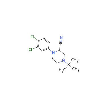 CC(C)(C)N1CCN(c2ccc(Cl)c(Cl)c2)C(C#N)C1